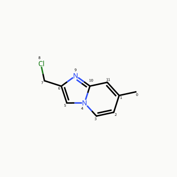 Cc1ccn2cc(CCl)nc2c1